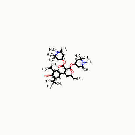 C=C(C)c1cc(C(CCCC)C(C(=O)OC2CC(=C)N(C)C(C)(C)C2)C(=O)OC2CC(=C)N(C)C(C)(C)C2)cc(C(C)(C)C)c1O